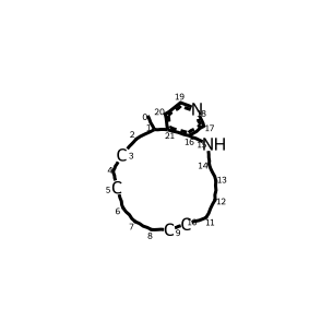 CC1CCCCCCCCCCCCCNc2cnccc21